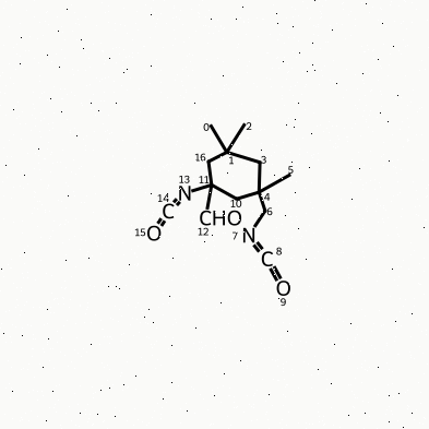 CC1(C)CC(C)(CN=C=O)CC(C=O)(N=C=O)C1